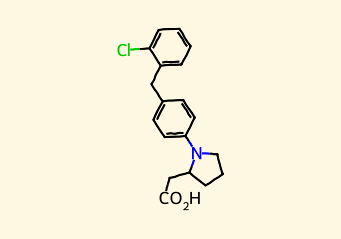 O=C(O)CC1CCCN1c1ccc(Cc2ccccc2Cl)cc1